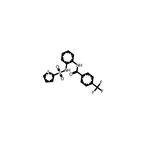 O=C(Nc1ccccc1NS(=O)(=O)c1cccs1)c1ccc(C(F)(F)F)cc1